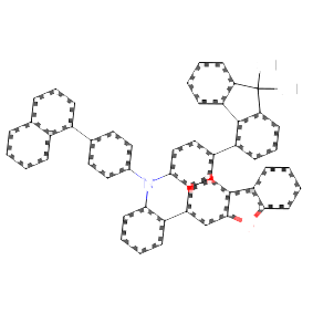 CC1(C)c2ccccc2-c2c(-c3ccc(N(c4ccc(-c5cccc6ccccc56)cc4)c4ccccc4-c4ccc5c(c4)oc4ccccc45)cc3)cccc21